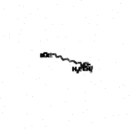 CCCCCCCCCCCCCCCCC[N+](C)(C)C